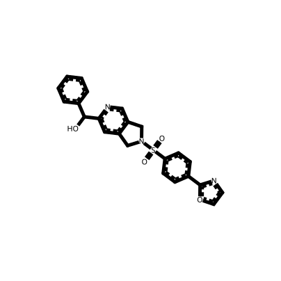 O=S(=O)(c1ccc(-c2ncco2)cc1)N1Cc2cnc(C(O)c3ccccc3)cc2C1